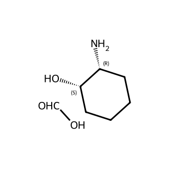 N[C@@H]1CCCC[C@@H]1O.O=CO